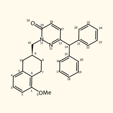 COc1cccc2c1CC[C@H](Cn1nc(C(c3ccccc3)c3ccccc3)ccc1=O)C2